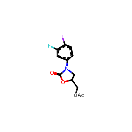 CC(=O)OCC1CN(c2ccc(I)c(F)c2)C(=O)O1